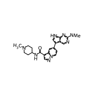 CNc1ncc2c(-c3ccn4ncc(C(=O)NC5CCN(C)CC5)c4c3)c[nH]c2n1